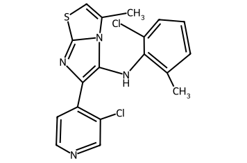 Cc1cccc(Cl)c1Nc1c(-c2ccncc2Cl)nc2scc(C)n12